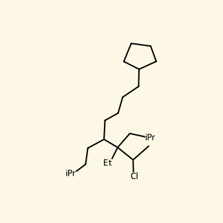 CCC(CC(C)C)(C(C)Cl)C(CCCCC1CCCC1)CCC(C)C